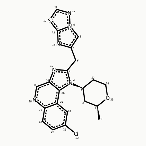 C[C@H]1C[C@@H](n2c(Cc3cn4ncsc4n3)nc3cnc4ccc(Cl)cc4c32)CCO1